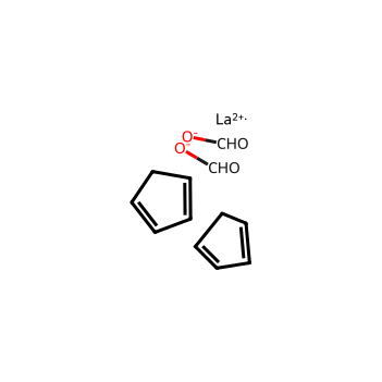 C1=CCC=C1.C1=CCC=C1.O=C[O-].O=C[O-].[La+2]